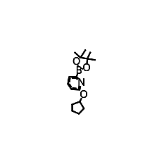 CC1(C)OB(c2cccc(OC3CCCC3)n2)OC1(C)C